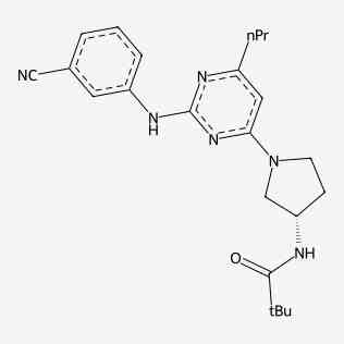 CCCc1cc(N2CC[C@H](NC(=O)C(C)(C)C)C2)nc(Nc2cccc(C#N)c2)n1